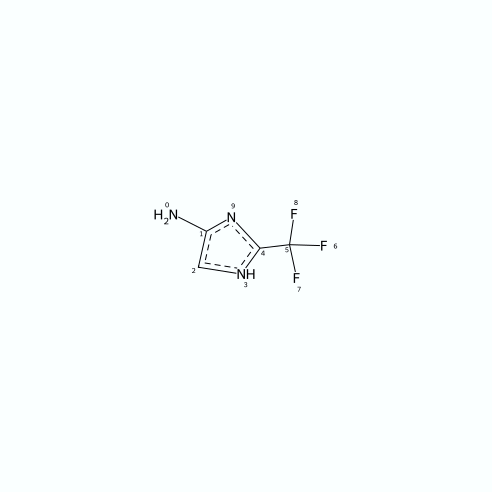 Nc1c[nH]c(C(F)(F)F)n1